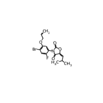 C=CCOc1cc(N2C(=O)OC(=CC(C)C)C2=O)c(F)cc1Br